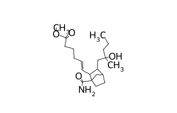 CCCC(C)(O)CC1C2CCC(C(N)=O)(C2)C1C=CCCCC(=O)OC